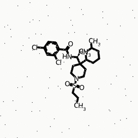 CCCS(=O)(=O)N1CCC(C2CCCC(C)N2)([C@H](C)NC(=O)c2ccc(Cl)cc2Cl)CC1